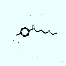 CCSCCCNc1ccc(C)cc1